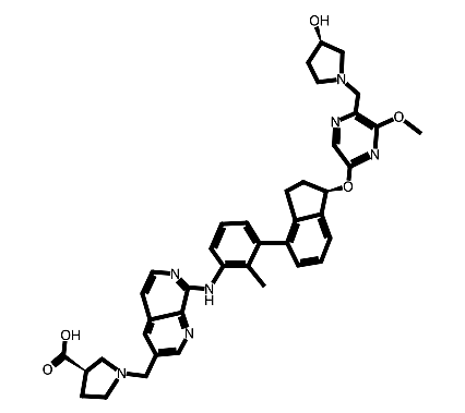 COc1nc(O[C@@H]2CCc3c(-c4cccc(Nc5nccc6cc(CN7CC[C@@H](C(=O)O)C7)cnc56)c4C)cccc32)cnc1CN1CC[C@@H](O)C1